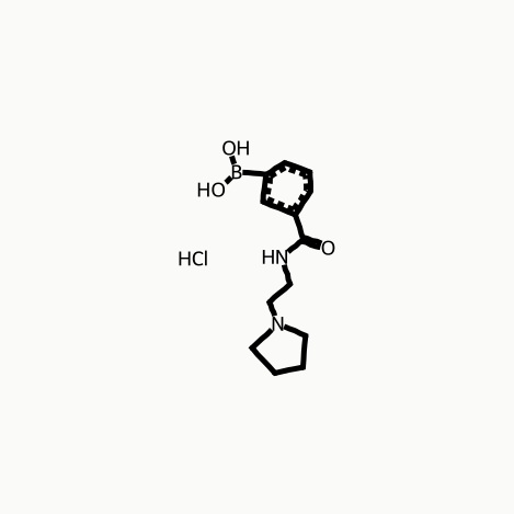 Cl.O=C(NCCN1CCCC1)c1cccc(B(O)O)c1